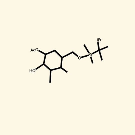 CC(=O)OC1CC(CO[Si](C)(C)C(C)(C)C(C)C)C(C)C(C)C1O